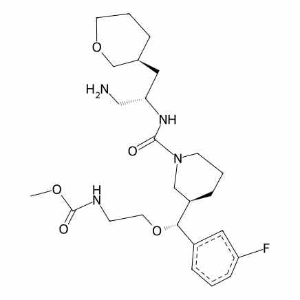 COC(=O)NCCO[C@@H](c1cccc(F)c1)[C@@H]1CCCN(C(=O)N[C@H](CN)C[C@@H]2CCCOC2)C1